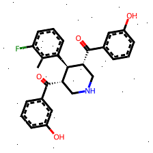 Cc1c(F)cccc1[C@@H]1[C@@H](C(=O)c2cccc(O)c2)CNC[C@H]1C(=O)c1cccc(O)c1